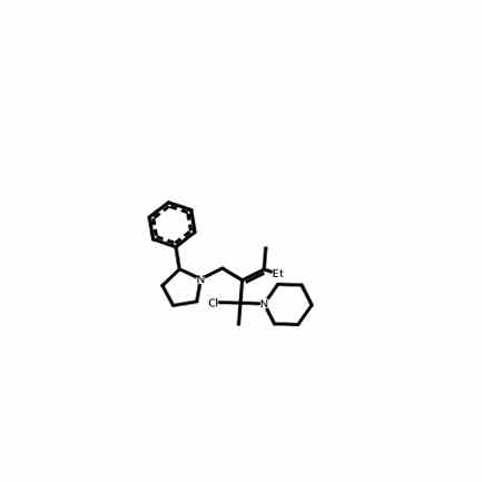 CCC(C)=C(CN1CCCC1c1ccccc1)C(C)(Cl)N1CCCCC1